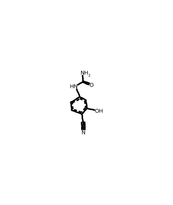 N#Cc1ccc(NC(N)=O)cc1O